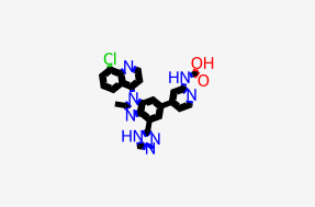 Cc1nc2c(-c3nnc[nH]3)cc(-c3ccnc(NC(=O)O)c3)cc2n1-c1ccnc2c(Cl)cccc12